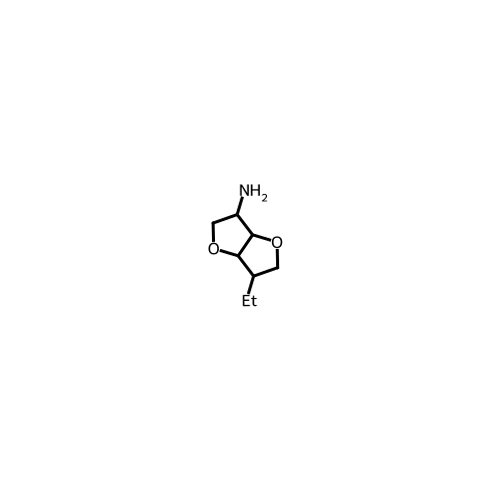 CCC1COC2C(N)COC12